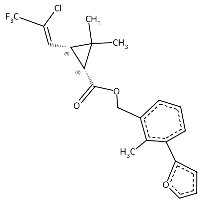 Cc1c(COC(=O)[C@@H]2[C@H](C=C(Cl)C(F)(F)F)C2(C)C)cccc1-c1ccco1